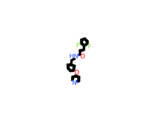 O=C(C=Cc1c(F)cccc1F)NCCc1cccc(Oc2ccncc2)c1